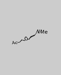 CNCCCOCCCC(C)=O